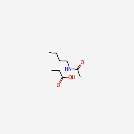 CCC(=O)O.CCCCNC(C)=O